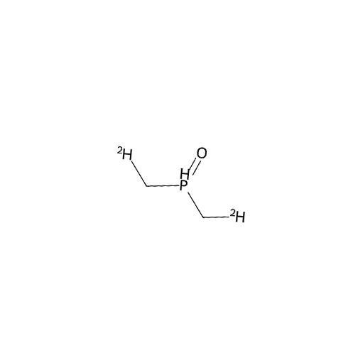 [2H]C[PH](=O)C[2H]